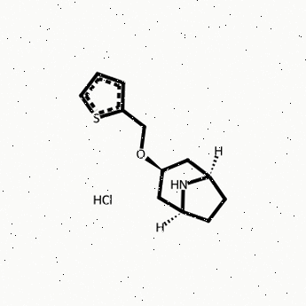 Cl.c1csc(CO[C@H]2C[C@H]3CC[C@@H](C2)N3)c1